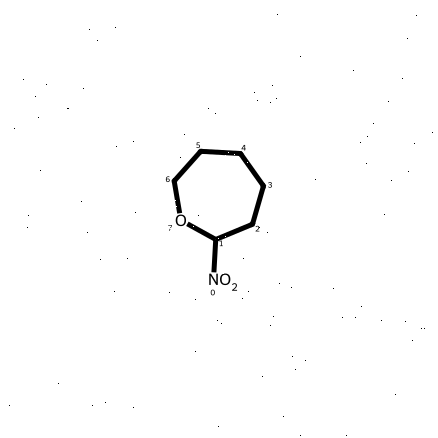 O=[N+]([O-])C1CCCCCO1